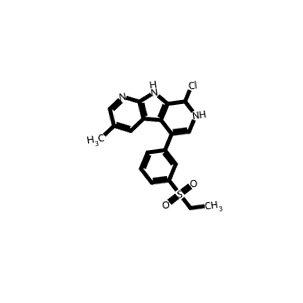 CCS(=O)(=O)c1cccc(C2=CNC(Cl)c3[nH]c4ncc(C)cc4c32)c1